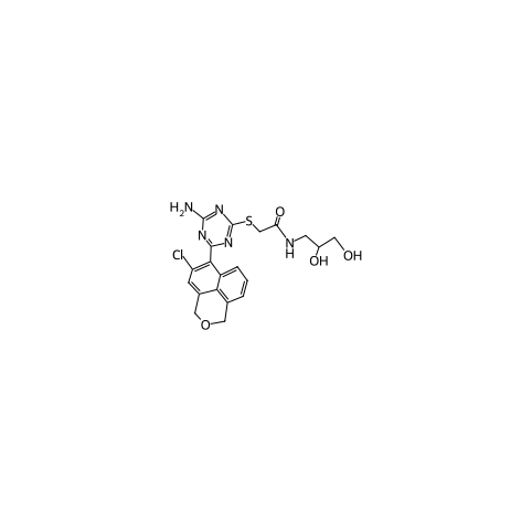 Nc1nc(SCC(=O)NCC(O)CO)nc(-c2c(Cl)cc3c4c(cccc24)COC3)n1